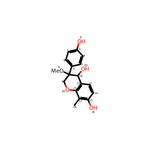 COC1(c2ccc(O)cc2)COc2c(ccc(O)c2C)C1O